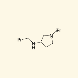 CC(C)CNC1CCN(C(C)C)C1